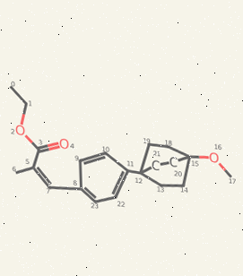 CCOC(=O)C(C)=Cc1ccc(C23CCC(OC)(CC2)CC3)cc1